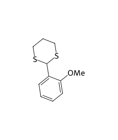 COc1ccccc1C1SCCCS1